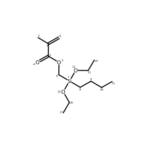 C=C(C)C(=O)OC[Si](CCCC)(OCC)OCC